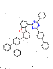 c1ccc(-c2ccc(-c3nc(-c4ccccc4)nc(-c4cccc5oc6c(-c7ccc(-c8ccccc8)c(-c8ccccc8)c7)cccc6c45)n3)cc2)cc1